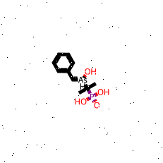 CC(C)(/[AsH](O)=C/c1ccccc1)P(=O)(O)O